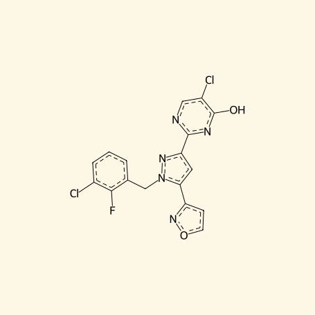 Oc1nc(-c2cc(-c3ccon3)n(Cc3cccc(Cl)c3F)n2)ncc1Cl